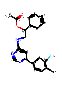 N#Cc1ccc(-c2cc(NC[C@@H](OC(=O)C(F)(F)F)c3ccccc3)ncn2)cc1F